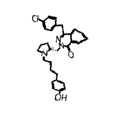 O=c1c2ccccc2c(Cc2ccc(Cl)cc2)nn1C[C@H]1CCCN1CCCCc1ccc(O)cc1